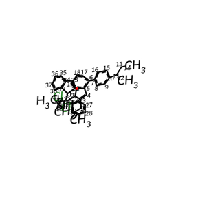 CCCC1=Cc2c(-c3ccc(C(C)CC)cc3)cccc2[CH]1[Zr]([Cl])([Cl])([c]1ccccc1)([CH]1C=Cc2ccccc21)[SiH](C)C